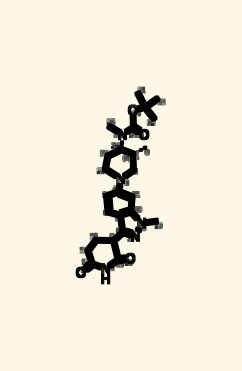 C[C@@H]1CN(c2ccc3c(C4CCC(=O)NC4=O)nn(C)c3c2)CC[C@@H]1N(C)C(=O)OC(C)(C)C